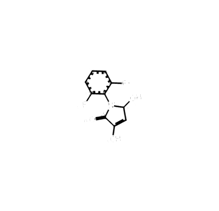 CC1=CC(O)N(c2c(F)cccc2F)C1=O